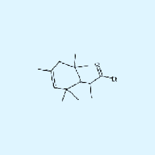 CCC(=O)C(C)C1C(C)(C)C=C(C)CC1(C)C